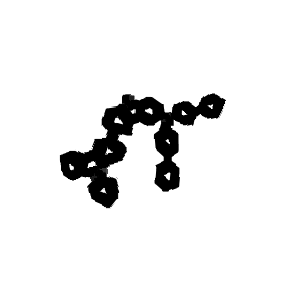 c1ccc(-c2ccc(N(c3ccc(-c4ccccc4)cc3)c3ccc4sc5ccc(-c6ccc7c(c6)c6ccccc6n7-c6ccccc6)cc5c4c3)cc2)cc1